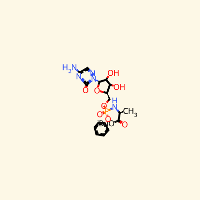 CC(C)COC(=O)[C@H](C)NP(=O)(OC[C@H]1O[C@@H](n2ncc(N)nc2=O)C(O)C1O)Oc1ccccc1